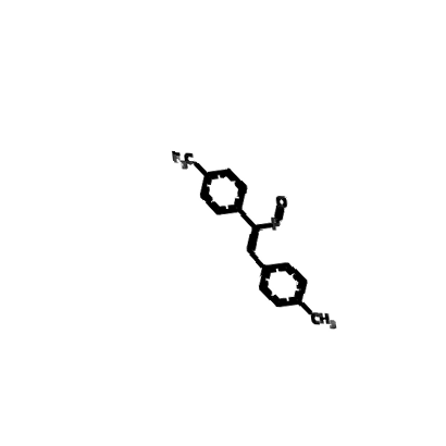 Cc1ccc(C=C(P=O)c2ccc(C(F)(F)F)cc2)cc1